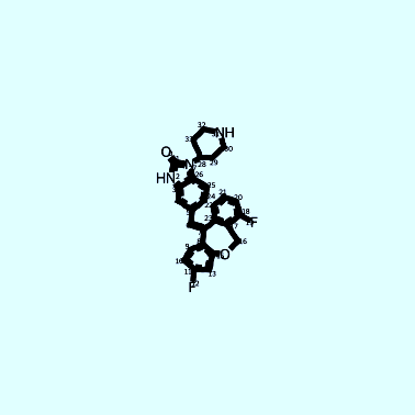 O=c1[nH]c2cc(/C=C3/c4ccc(F)cc4OCc4c(F)cccc43)ccc2n1C1CCNCC1